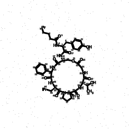 CC(C)CCCC(=O)N[C@@H](Cc1ccc(O)cc1)C(=O)N[C@@H]1COC(=O)CNC(=O)[C@H](C(C)O)NC(=O)[C@@H]2CCCN2C(=O)[C@@H](CC(C)C)NC(=O)C(c2ccccc2)NC1=O